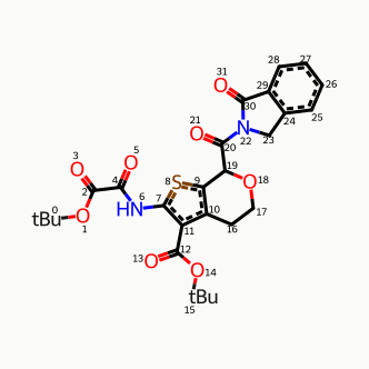 CC(C)(C)OC(=O)C(=O)Nc1sc2c(c1C(=O)OC(C)(C)C)CCOC2C(=O)N1Cc2ccccc2C1=O